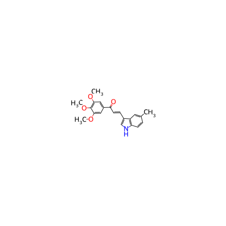 COc1cc(C(=O)/C=C/c2c[nH]c3ccc(C)cc23)cc(OC)c1OC